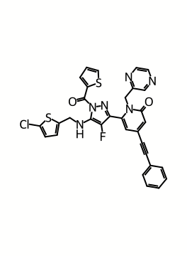 O=C(c1cccs1)n1nc(-c2cc(C#Cc3ccccc3)cc(=O)n2Cc2cnccn2)c(F)c1NCc1ccc(Cl)s1